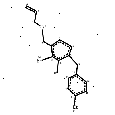 C=CCOCc1ccc(Cc2ccc(CC)cc2)c(C)c1Br